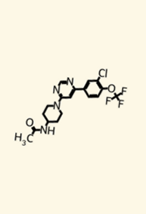 CC(=O)NC1CCN(c2cc(-c3ccc(OC(F)(F)F)c(Cl)c3)ncn2)CC1